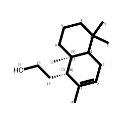 CC1=CCC2C(C)(C)CCC[C@]2(C)[C@H]1CCO